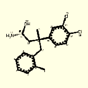 Cc1ccccc1CC(C)(C[C@H](N)O)c1ccc(Cl)c(Cl)c1